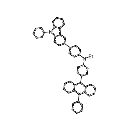 CCN(c1ccc(-c2ccc3c(c2)c2ccccc2n3-c2ccccc2)cc1)c1ccc(-c2c3ccccc3c(-c3ccccc3)c3ccccc23)cc1